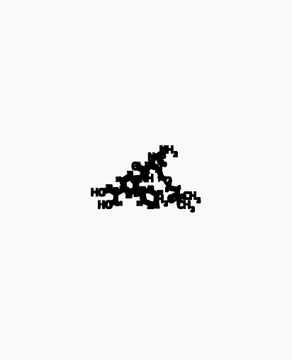 C[Si](C)(C)CCOCn1cc(N)nc1C(=O)Nc1ccc(C(CO)CO)cc1C1=CCCCC1